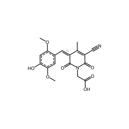 COc1cc(/C=C2\C(=O)N(CC(=O)O)C(=O)C(C#N)=C2C)c(OC)cc1O